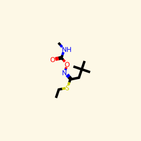 CCSC(CC(C)(C)C)=NOC(=O)NC